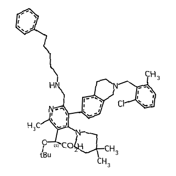 Cc1cccc(Cl)c1CN1CCc2cc(-c3c(CNCCCCCc4ccccc4)nc(C)c([C@H](OC(C)(C)C)C(=O)O)c3N3CCC(C)(C)CC3)ccc2C1